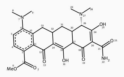 COC(=O)c1ccc(N(C)C)c2c1C(=O)C1=C(O)C3C(=O)C(C(N)=O)=C(O)[C@@H](N(C)C)C3CC1C2